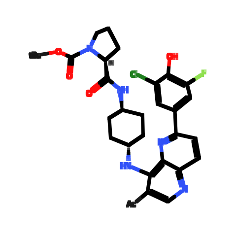 CC(=O)c1cnc2ccc(-c3cc(F)c(O)c(Cl)c3)nc2c1N[C@H]1CC[C@H](NC(=O)[C@@H]2CCCN2C(=O)OC(C)(C)C)CC1